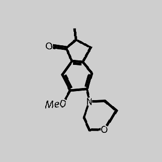 COc1cc2c(cc1N1CCOCC1)CC(C)C2=O